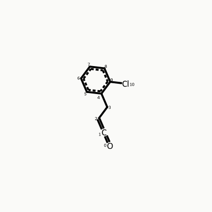 O=C=CCc1ccccc1Cl